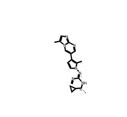 C=N/C(=N\n1ccc(-c2cnc3ncc(C)n3c2)c1C)N[C@H](C)C1CC1